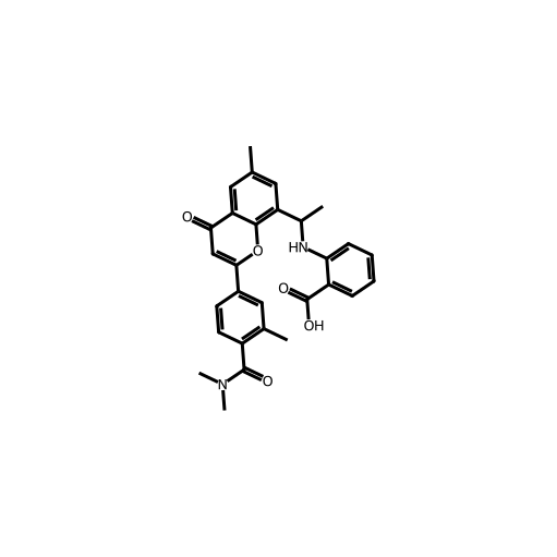 Cc1cc(C(C)Nc2ccccc2C(=O)O)c2oc(-c3ccc(C(=O)N(C)C)c(C)c3)cc(=O)c2c1